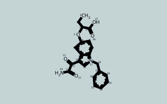 CCC(Oc1ccc2c(c1)c(C(=O)C(N)=O)cn2Cc1ccccc1)C(=O)O